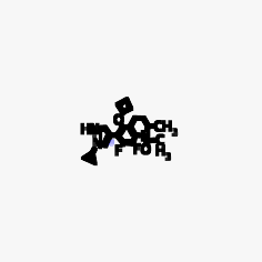 CC(=O)N1c2c(F)c(F)c(/C(C=N)=C/NC3CC3)c(OC3CCC3)c2CCC1C